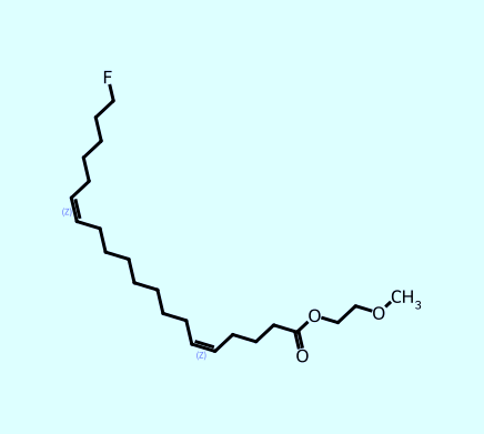 COCCOC(=O)CCC/C=C\CCCCCCC/C=C\CCCCCF